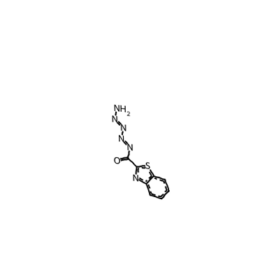 NN=NN=NC(=O)c1nc2ccccc2s1